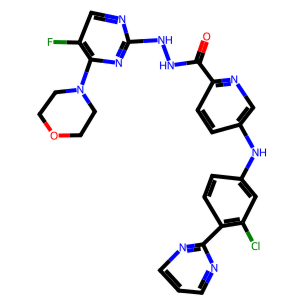 O=C(NNc1ncc(F)c(N2CCOCC2)n1)c1ccc(Nc2ccc(-c3ncccn3)c(Cl)c2)cn1